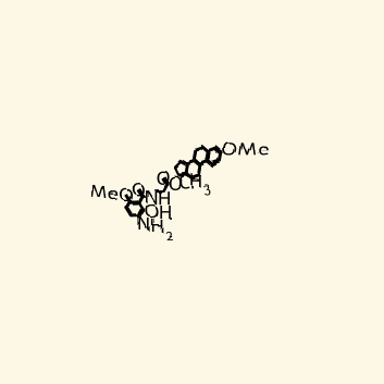 COc1ccc2c(c1)CCC1C2CCC2(C)C(OC(=O)CCNC(=O)c3c(OC)ccc(N)c3O)CCC12